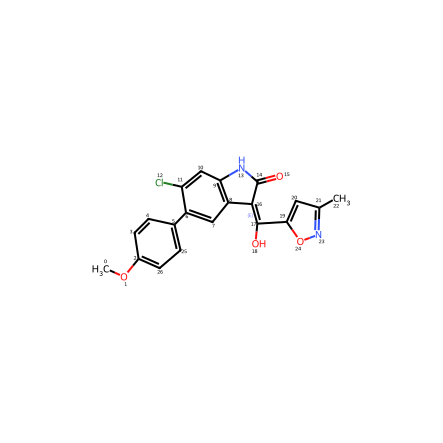 COc1ccc(-c2cc3c(cc2Cl)NC(=O)/C3=C(/O)c2cc(C)no2)cc1